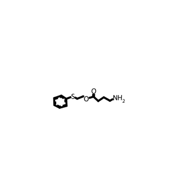 NCCCC(=O)OCCSc1ccccc1